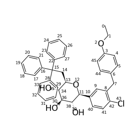 CCOc1ccc(Cc2cc([C@@H]3O[C@H](CC(c4ccccc4)(c4ccccc4)c4ccccc4)[C@@H](O)[C@H](O)[C@H]3O)ccc2Cl)cc1